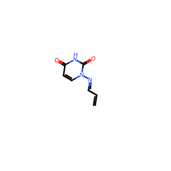 C=CC=Nn1ccc(=O)[nH]c1=O